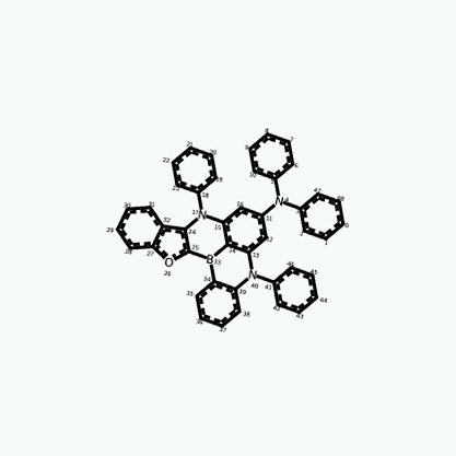 c1ccc(N(c2ccccc2)c2cc3c4c(c2)N(c2ccccc2)c2c(oc5ccccc25)B4c2ccccc2N3c2ccccc2)cc1